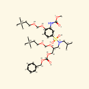 COC(=O)Nc1cc(S(=O)(=O)N(CC(C)C)CC(COC(=O)OCc2ccccc2)OCOCC[Si](C)(C)C)ccc1OCOCC[Si](C)(C)C